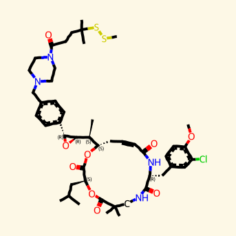 COc1ccc(C[C@H]2NC(=O)C=CC[C@@H]([C@H](C)[C@H]3O[C@@H]3c3ccc(CN4CCN(C(=O)CCC(C)(C)SSC)CC4)cc3)OC(=O)[C@H](CC(C)C)OC(=O)C(C)(C)CNC2=O)cc1Cl